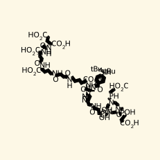 CC(C)(C)[SiH](c1ccc(C(=O)NC[C@@H](C(=O)N[C@@H](CCCCNC(=O)CCC(=O)NCCC[C@H](NC(=O)CC[C@H](NC(=O)N[C@@H](CCC(=O)O)C(=O)O)C(=O)O)C(=O)O)C(=O)O)n2cc(CNC(=O)CC[PH](O)(O)CN3CCN(CPCCC(=O)O)CCN(CP(=O)(O)CCC(=O)O)CC3)nn2)cc1)C(C)(C)C